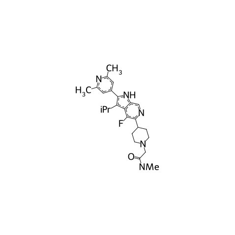 CNC(=O)CN1CCC(c2ncc3[nH]c(-c4cc(C)nc(C)c4)c(C(C)C)c3c2F)CC1